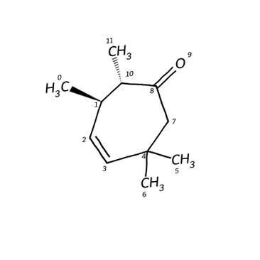 C[C@@H]1C=CC(C)(C)CC(=O)[C@H]1C